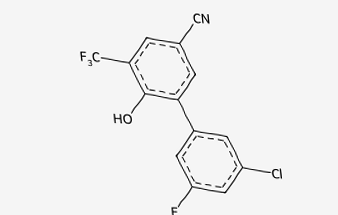 N#Cc1cc(-c2cc(F)cc(Cl)c2)c(O)c(C(F)(F)F)c1